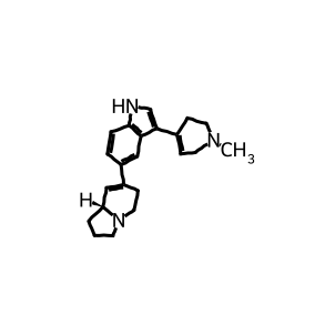 CN1CC=C(c2c[nH]c3ccc(C4=C[C@H]5CCCN5CC4)cc23)CC1